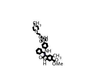 COC(=O)c1cc2c(cc1C)/C(=C(\Nc1ccc(S(=O)(=O)NOCCN3CCN(C)CC3)cc1)c1ccccc1)C(=O)N2